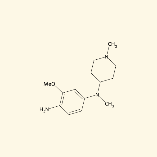 COc1cc(N(C)C2CCN(C)CC2)ccc1N